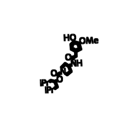 COc1cc(CC(=O)NC2CCN(C(=O)OC(CC(C)C)CC(C)C)CC2)ccc1O